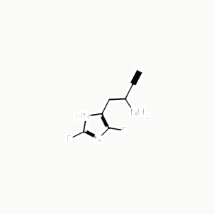 C#CC(N)Cc1[nH]c(F)nc1F